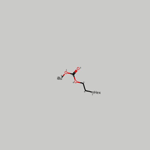 [CH2]C(CC)OC(=O)OCCCCCCCC